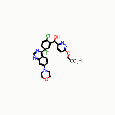 O=C(O)COc1ccc(C(O)C2=CC(F)(c3ncnc4cc(N5CCOCC5)ccc34)CC=C2Cl)nn1